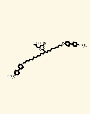 CCOC(=O)c1ccc(-c2ccc(OCCCCCCCCCCCC(CCCCCCCCCOc3ccc(-c4ccc(C(=O)OCC)cc4)cc3)C3OC(CC)CC(CC(C)O)O3)cc2)cc1